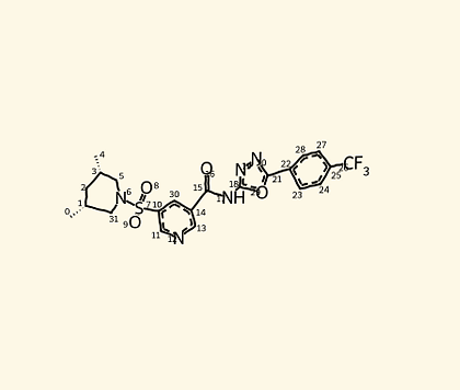 C[C@@H]1C[C@H](C)CN(S(=O)(=O)c2cncc(C(=O)Nc3nnc(-c4ccc(C(F)(F)F)cc4)o3)c2)C1